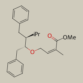 COC(=O)C(C)=CCO[C@H](Cc1ccccc1)[C@@H](Cc1ccccc1)C(C)C